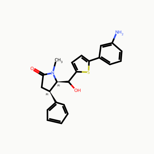 CN1C(=O)C[C@H](c2ccccc2)[C@@H]1C(O)c1ccc(-c2cccc(N)c2)s1